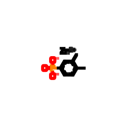 Cc1ccc(P(=O)([O-])[O-])cc1C.[Zn+2]